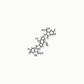 CCOc1c2cc(/C=C3\C(=O)c4cc(F)c(F)cc4C3=C(C#N)C#N)sc2c(OCC)c2cc(/C=C3\C(=O)c4cc(F)c(F)cc4C3=C(C#N)C#N)sc12